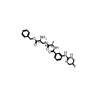 C[C@@H](NC(=O)c1cccc(NC2=NCC(F)CN2)c1)C(=O)NC[C@H](N)C(=O)OCc1ccccc1